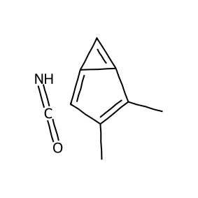 Cc1cc2cc-2c1C.N=C=O